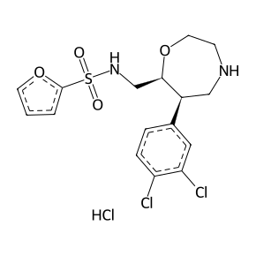 Cl.O=S(=O)(NC[C@H]1OCCNC[C@H]1c1ccc(Cl)c(Cl)c1)c1ccco1